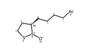 CC(=O)CCCC[C@@H]1CCS[S+]1[O-]